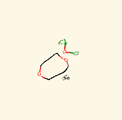 C1COCCO1.ClOCl.[Se]